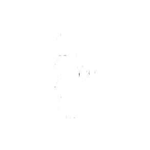 CCCCCCCCCCCCOCC(O)CO.O=S(=O)(O)O.[NaH]